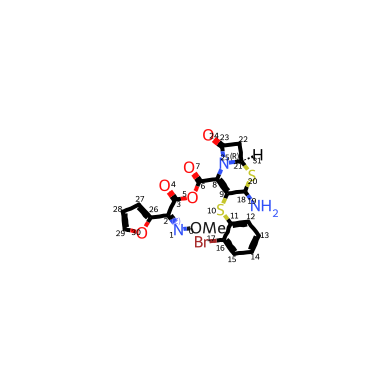 CO/N=C(\C(=O)OC(=O)C1=C(Sc2ccccc2Br)C(N)S[C@@H]2CC(=O)N12)c1ccco1